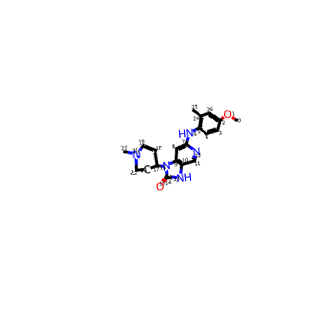 COc1ccc(Nc2cc3c(cn2)[nH]c(=O)n3C2CCN(C)CC2)c(C)c1